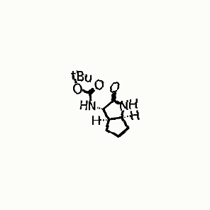 CC(C)(C)OC(=O)N[C@@H]1C(=O)N[C@H]2CCC[C@H]21